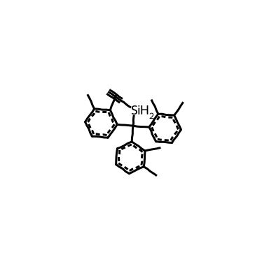 C#C[SiH2]C(c1cccc(C)c1C)(c1cccc(C)c1C)c1cccc(C)c1C